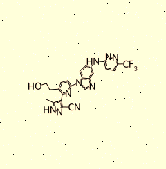 Cc1[nH]nc(C#N)c1-c1nc(-n2cnc3cc(Nc4ccc(C(F)(F)F)nn4)ccc32)ccc1CCO